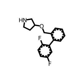 Fc1ccc(F)c(-c2ccccc2COC2CCNC2)c1